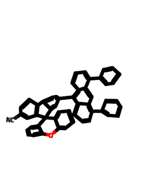 N#Cc1ccc2c(c1)C1(c3ccccc3Oc3ccccc31)c1cc(-c3c4cccc(-c5ccccc5)c4cc4c(-c5ccccc5)cccc34)ccc1-2